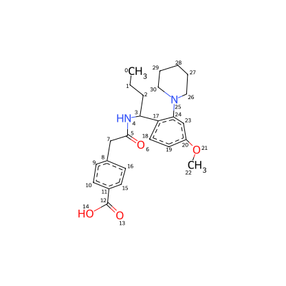 CCCC(NC(=O)Cc1ccc(C(=O)O)cc1)c1ccc(OC)cc1N1CCCCC1